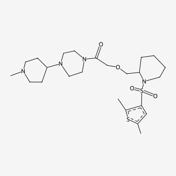 Cc1cc(S(=O)(=O)N2CCCCC2COCC(=O)N2CCN(C3CCN(C)CC3)CC2)c(C)s1